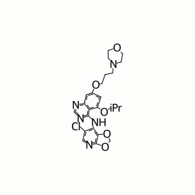 CC(C)Oc1cc(OCCCN2CCOCC2)cc2ncnc(Nc3c(Cl)cnc4c3OCO4)c12